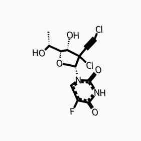 C[C@@H](O)[C@H]1O[C@@H](n2cc(F)c(=O)[nH]c2=O)C(Cl)(C#CCl)[C@H]1O